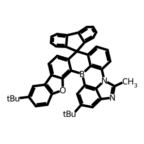 Cc1nc2cc(C(C)(C)C)cc3c2n1-c1cccc2c1B3c1c(ccc3c1oc1ccc(C(C)(C)C)cc13)C21c2ccccc2-c2ccccc21